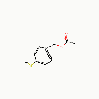 CSc1ccc(COC(C)=O)cc1